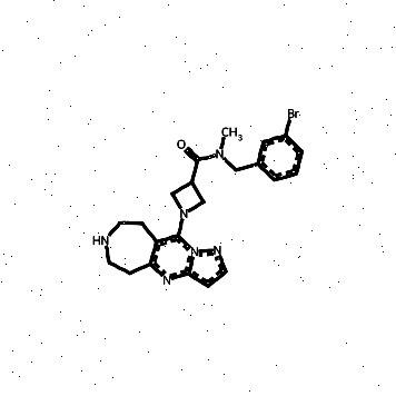 CN(Cc1cccc(Br)c1)C(=O)C1CN(c2c3c(nc4ccnn24)CCNCC3)C1